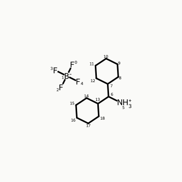 F[B-](F)(F)F.[NH3+]C(C1CCCCC1)C1CCCCC1